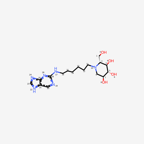 OC[C@@H]1[C@@H](O)[C@H](O)[C@@H](O)CN1CCCCCCNc1ncc2[nH]cnc2n1